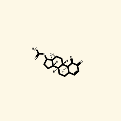 CC(=O)OC1CC[C@H]2[C@@H]3CCC4C=CC(=O)C(=O)[C@]4(C)[C@H]3CC[C@]12C